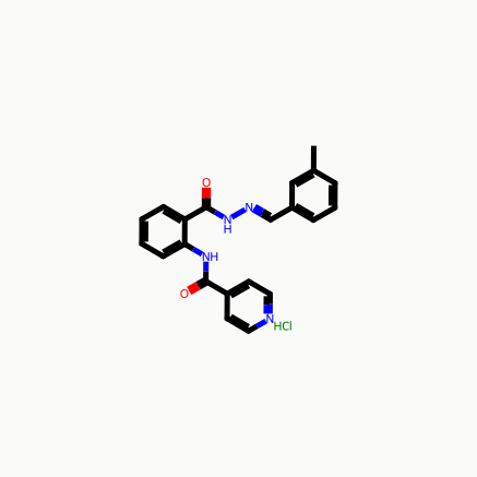 Cc1cccc(C=NNC(=O)c2ccccc2NC(=O)c2ccncc2)c1.Cl